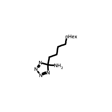 CCCCCCCCCCC1(N)N=NN=N1